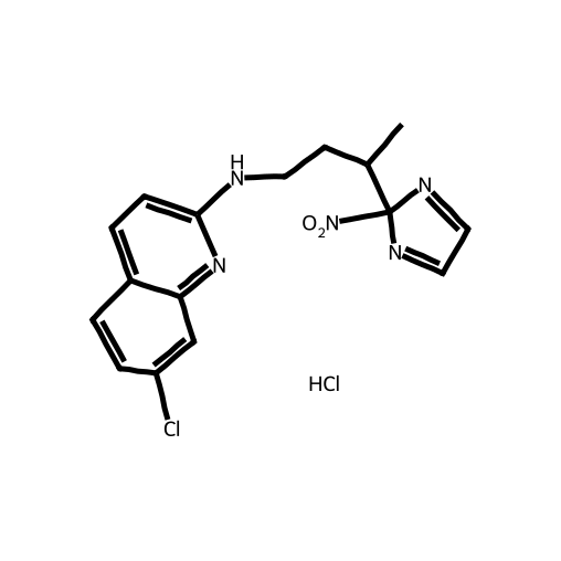 CC(CCNc1ccc2ccc(Cl)cc2n1)C1([N+](=O)[O-])N=CC=N1.Cl